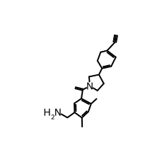 C#CC1=CC=C(C2CCN(C(=C)c3cc(CN)c(C)cc3C)C2)CC1